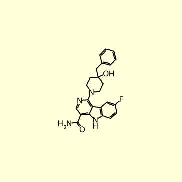 NC(=O)c1cnc(N2CCC(O)(Cc3ccccc3)CC2)c2c1[nH]c1ccc(F)cc12